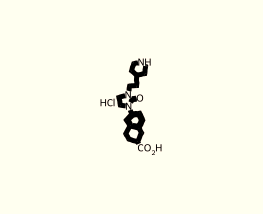 Cl.O=C(O)C1CCc2cc(N3CCN(CCC4CCNCC4)C3=O)ccc2C1